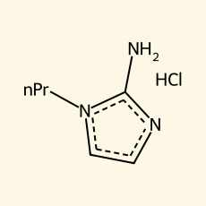 CCCn1ccnc1N.Cl